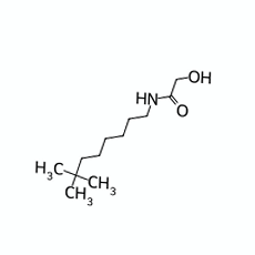 CC(C)(C)CCCCCCNC(=O)CO